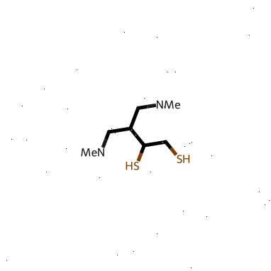 CNCC(CNC)C(S)CS